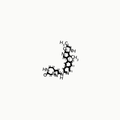 Cc1c(-c2cc3cc(Nc4cc5n(n4)CC(=O)NCC5)ncc3cc2F)cnc2c1NC[C@@H](C)O2